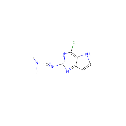 CN(C)/C=N/c1nc(Cl)c2[nH]ccc2n1